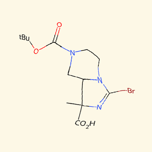 CC(C)(C)OC(=O)N1CCN2C(Br)=NC(C)(C(=O)O)C2C1